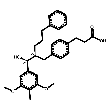 COc1cc([C@@H](O)[C@@H](CCCc2ccccc2)Cc2ccc(CCC(=O)O)cc2)cc(OC)c1C